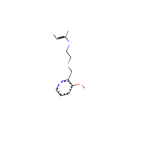 CCOc1cccnc1CSCCNC(=CNC)[N+](=O)[O-]